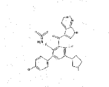 N[SH](=O)=O.O=C(c1c(F)c(-c2ccc(Cl)cc2)cc(C2CCNC2)c1F)c1c[nH]c2ncccc12